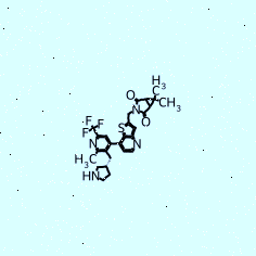 Cc1nc(C(F)(F)F)cc(-c2ccnc3cc(CN4C(=O)C5C(C4=O)C5(C)C)sc23)c1C[C@@H]1CCNC1